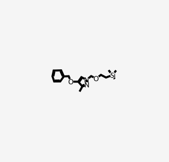 Cc1nn(COCC[Si](C)(C)C)cc1OCc1ccccc1